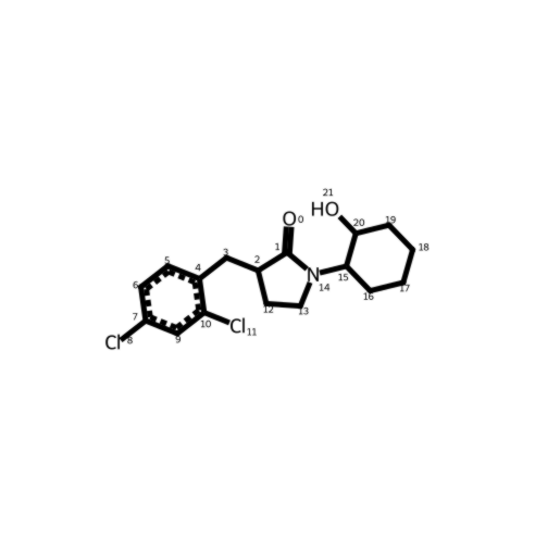 O=C1C(Cc2ccc(Cl)cc2Cl)CCN1C1CCCCC1O